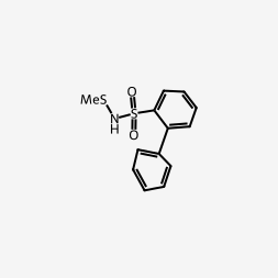 CSNS(=O)(=O)c1ccccc1-c1ccccc1